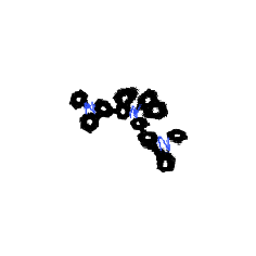 c1ccc(-n2c3ccccc3c3cc(-c4ccc(N(c5ccc(-c6ccc7c8ccccc8n(-c8ccccc8)c7c6)cc5)c5cccc6ccccc56)c5ccccc45)ccc32)cc1